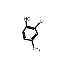 Cc1ccc(N=O)c(C(F)(F)F)c1